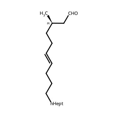 CCCCCCCCCCC=CCC[C@@H](C)CC=O